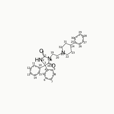 O=C1NC(c2ccccc2)(c2ccccc2)C(=O)N1CCN1CCC(c2ccccc2)CC1